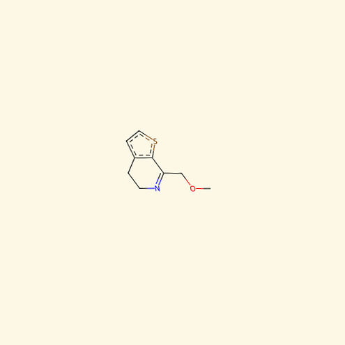 COCC1=NCCc2ccsc21